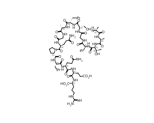 CC(C)C[C@H](NC(=O)[C@H](CO)NC(=O)CNC(=O)[C@@H](NC(=O)[C@@H](NC(=O)[C@H](C)NC(=O)[C@H](C)N)[C@@H](C)O)C(C)C)C(=O)N[C@@H](C)C(=O)NCC(=O)N[C@@H](CCC(N)=O)C(=O)N1CCC[C@H]1C(=O)N[C@@H](CC(C)C)C(=O)N[C@@H](CCC(N)=O)C(=O)N[C@@H](CCC(=O)O)C(=O)N[C@@H](CCCNC(=N)N)C(=O)O